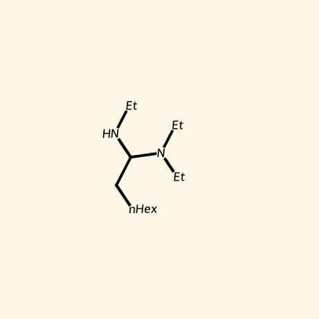 CCCCCCCC(NCC)N(CC)CC